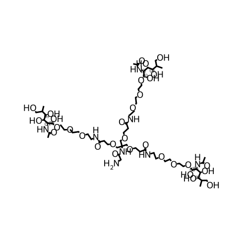 CC(=O)N[C@@H](C(O)[C@@H](O)C(C)CO)[C@@H](O)OCCOCCOCCNC(=O)CCOCC(COCCC(=O)NCCOCCOCCO[C@H](O)[C@@H](NC(C)=O)C(O)[C@@H](O)C(C)CO)(COCCC(=O)NCCOCCOCCO[C@H](O)[C@@H](NC(C)=O)C(O)[C@@H](O)C(C)CO)NC(=O)CN